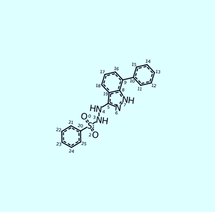 O=S(=O)(NNc1n[nH]c2c(-c3ccccc3)cccc12)c1ccccc1